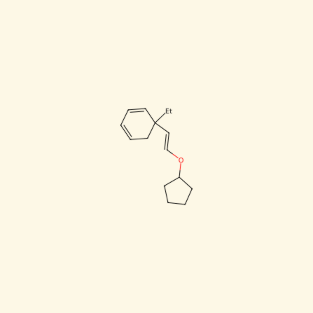 CCC1(C=COC2CCCC2)C=CC=CC1